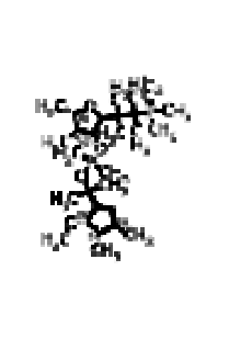 C=P(C)(O[C@@H]1C(C(C)(C)C(C)(C)P(=C)(C)C)O[C@@H](C)[C@@H]1C)OC(C)(C)C1C[C@@H](C)[C@H](C)[C@@H]1OC